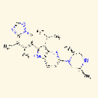 Cc1c(-c2[nH]c3ccc(N4C[C@H](C)NC[C@@H]4C)nc3c2C(C)C)cn2ncnc2c1C